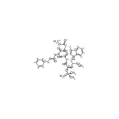 COC(=O)[C@H](Cc1c[nH]c2ccccc12)NC(=O)[C@H](CC(=O)OCc1ccccc1)NC(=O)[C@H](CCSC)NC(=O)OC(C)(C)C